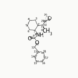 C[C@@H](C1CCCCC1NC(=O)OCc1ccccc1)[C@@H]1CO1